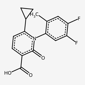 Cc1cc(F)c(F)cc1-n1c(C2CC2)ccc(C(=O)O)c1=O